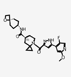 COc1cc(-c2cc(C(=O)N3CC[C@H](C(=O)N[C@H]4CC[C@]5(CCO5)CC4)CC34CC4)n[nH]2)c(F)cn1